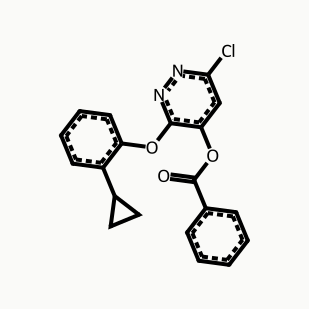 O=C(Oc1cc(Cl)nnc1Oc1ccccc1C1CC1)c1ccccc1